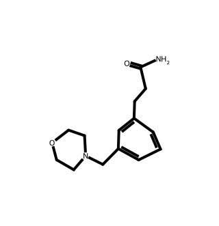 NC(=O)CCc1cccc(CN2CCOCC2)c1